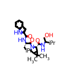 CC(C)C[C@H](NC(=O)c1cc2ccccc2[nH]1)C(=O)N1CC2C([C@H]1C(=O)NC(CO)C(C)C)C2(C)C